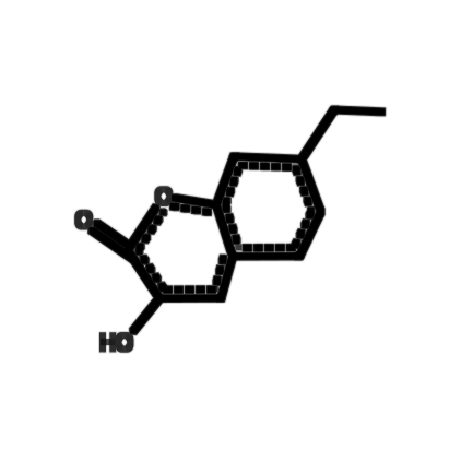 CCc1ccc2cc(O)c(=O)oc2c1